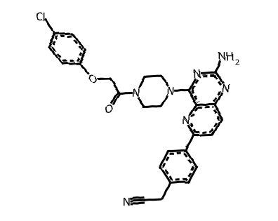 N#CCc1ccc(-c2ccc3nc(N)nc(N4CCN(C(=O)COc5ccc(Cl)cc5)CC4)c3n2)cc1